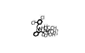 CC(C)(C)[C@H](NC(=O)c1nn(Cc2ccc(Cl)cc2Cl)c2ccccc12)C(=O)O